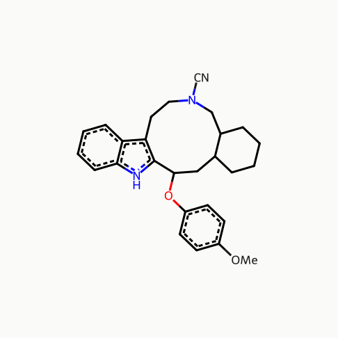 COc1ccc(OC2CC3CCCCC3CN(C#N)CCc3c2[nH]c2ccccc32)cc1